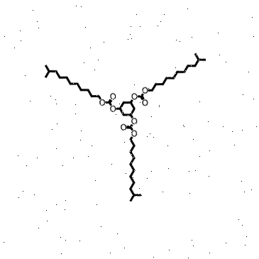 CC(C)CCCCCCCCCOC(=O)OC1CC(OC(=O)OCCCCCCCCCC(C)C)CC(OC(=O)OCCCCCCCCCC(C)C)C1